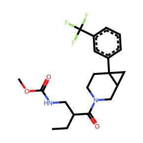 CCC(CNC(=O)OC)C(=O)N1CCC2(c3cccc(C(F)(F)F)c3)CC2C1